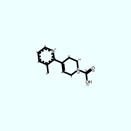 Cc1cccnc1C1=CCN(C(=O)O)CC1